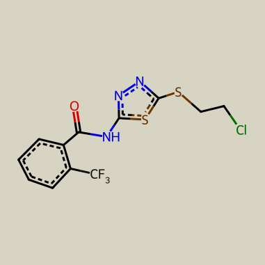 O=C(Nc1nnc(SCCCl)s1)c1ccccc1C(F)(F)F